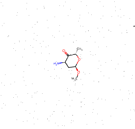 CO[C@H]1C[C@@H](N)C(=O)[C@H](C)O1